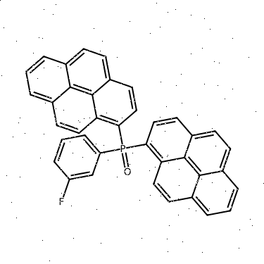 O=P(c1cccc(F)c1)(c1ccc2ccc3cccc4ccc1c2c34)c1ccc2ccc3cccc4ccc1c2c34